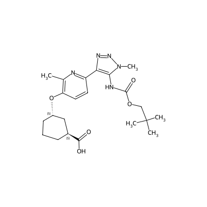 Cc1nc(-c2nnn(C)c2NC(=O)OCC(C)(C)C)ccc1O[C@H]1CCC[C@H](C(=O)O)C1